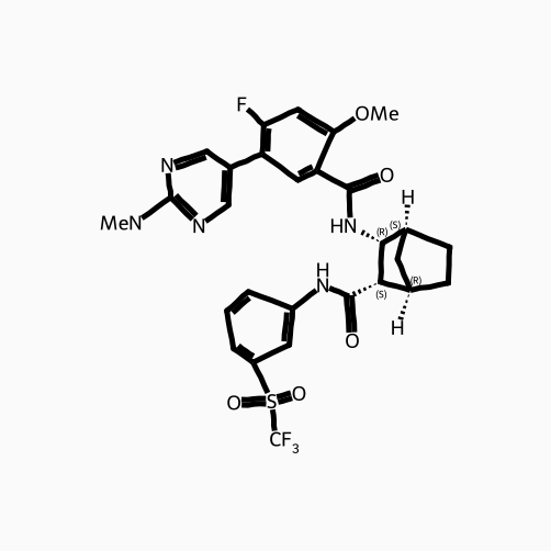 CNc1ncc(-c2cc(C(=O)N[C@@H]3[C@H]4CC[C@H](C4)[C@@H]3C(=O)Nc3cccc(S(=O)(=O)C(F)(F)F)c3)c(OC)cc2F)cn1